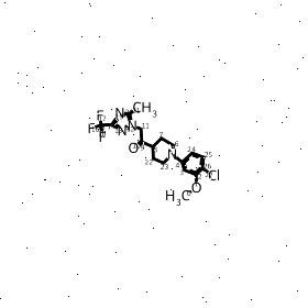 COc1cc(N2CCC(C(=O)Cn3nc(C(F)(F)F)nc3C)CC2)ccc1Cl